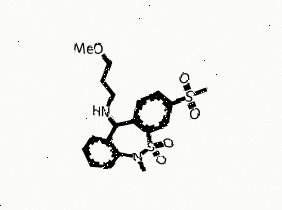 COCCCNC1c2ccccc2N(C)S(=O)(=O)c2cc(S(C)(=O)=O)ccc21